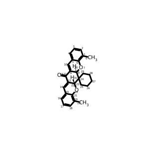 Cc1cccc2c1O[C@@H]1C(=C2)C(=O)C2=Cc3cccc(C)c3O[C@H]2C12CCCCC2